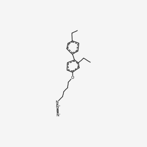 CCc1ccc(-c2ccc(OCCCCN=[N+]=[N-])cc2CC)cc1